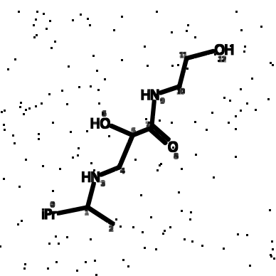 CC(C)C(C)NCC(O)C(=O)NCCO